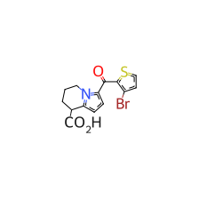 O=C(c1sccc1Br)c1ccc2n1CCCC2C(=O)O